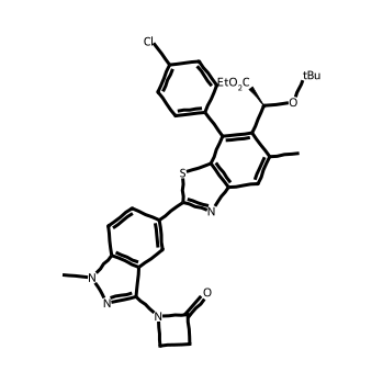 CCOC(=O)[C@@H](OC(C)(C)C)c1c(C)cc2nc(-c3ccc4c(c3)c(N3CCC3=O)nn4C)sc2c1-c1ccc(Cl)cc1